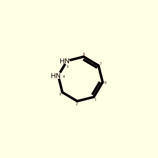 C1=CCCNNC=C1